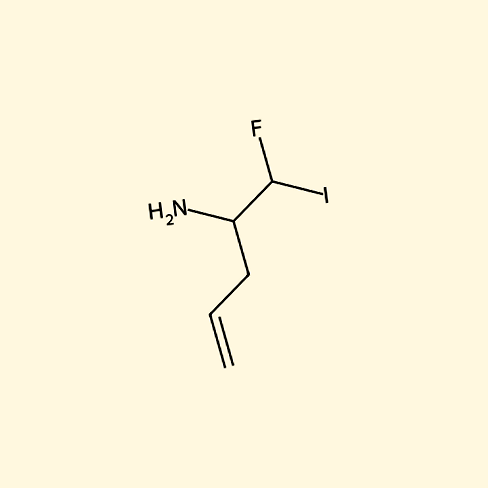 C=CCC(N)C(F)I